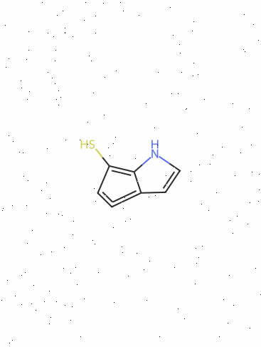 SC1=c2[nH]ccc2=C=C1